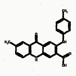 Cc1ccc(Nc2cc3c(=O)c4cc(C)ccc4[nH]c3cc2C(=O)O)cc1